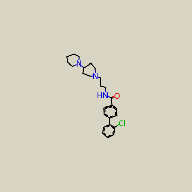 O=C(NCCCN1CCC(N2CCCCC2)CC1)c1ccc(-c2ccccc2Cl)cc1